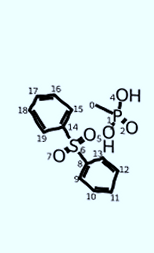 CP(=O)(O)O.O=S(=O)(c1ccccc1)c1ccccc1